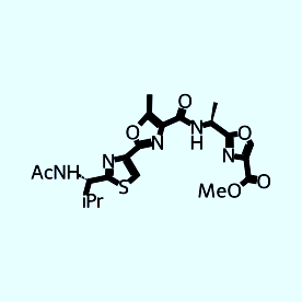 COC(=O)c1coc([C@H](C)NC(=O)c2nc(-c3csc([C@@H](NC(C)=O)C(C)C)n3)oc2C)n1